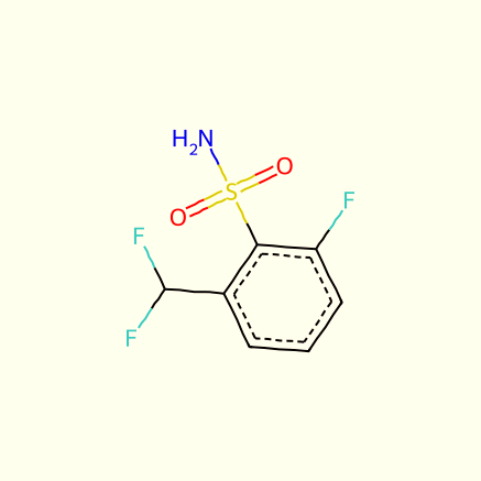 NS(=O)(=O)c1c(F)cccc1C(F)F